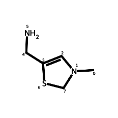 CN1C=C(CN)SC1